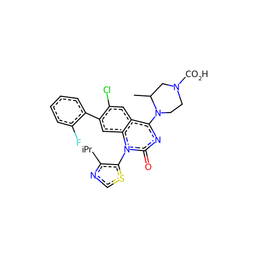 CC(C)c1ncsc1-n1c(=O)nc(N2CCN(C(=O)O)CC2C)c2cc(Cl)c(-c3ccccc3F)cc21